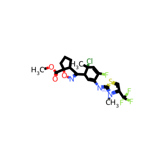 COC(=O)C12CCCC1C(C1C=C(/N=c3\scc(C(F)(F)F)n3C)C(F)=CC1(C)Cl)=NO2